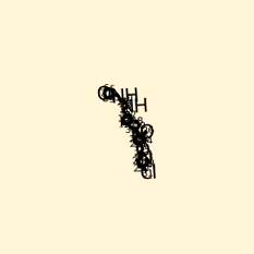 C[C@@H](CNC1CCOCC1)NCc1ccc2c(c1)CCC(n1ccc(OCc3ccc(Cl)cn3)cc1=O)=C2